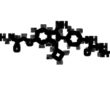 CC(C)NC(=O)Nc1ccc(-c2c(N)c3ccc(OCC(N)=O)cc3n2C2CCC2)cc1